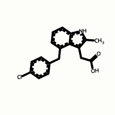 Cc1[nH]c2cccc(Cc3ccc(Cl)cc3)c2c1CC(=O)O